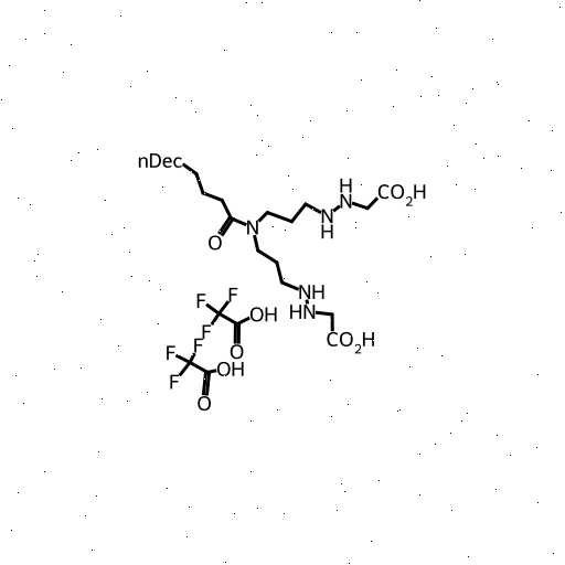 CCCCCCCCCCCCCC(=O)N(CCCNNCC(=O)O)CCCNNCC(=O)O.O=C(O)C(F)(F)F.O=C(O)C(F)(F)F